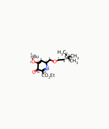 CCCCOC1=CC(COCC[Si](C)(C)C)N=C(C(=O)OCC)C1=O